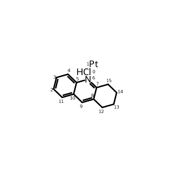 Cl.[Pt].c1ccc2nc3c(cc2c1)CCCC3